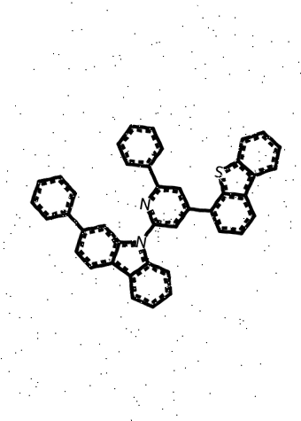 c1ccc(-c2ccc3c4ccccc4n(-c4cc(-c5cccc6c5sc5ccccc56)cc(-c5ccccc5)n4)c3c2)cc1